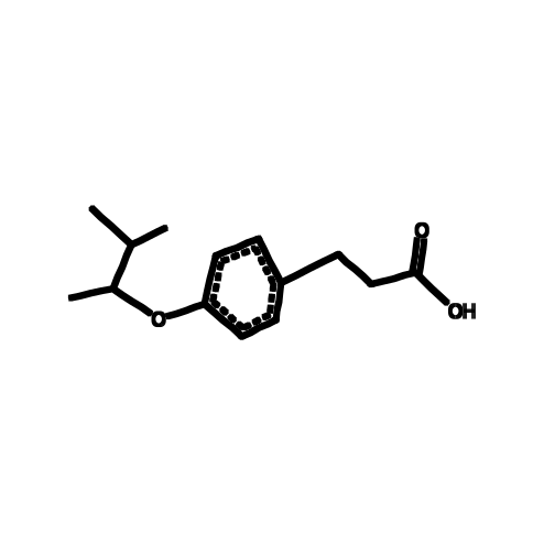 CC(C)C(C)Oc1ccc(CCC(=O)O)cc1